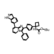 CC(C)(C)OC(=O)NC1(c2ccc(-c3nc4c(-c5ccc6cn[nH]c6c5)cccn4c3-c3ccccc3)cc2)CCC1